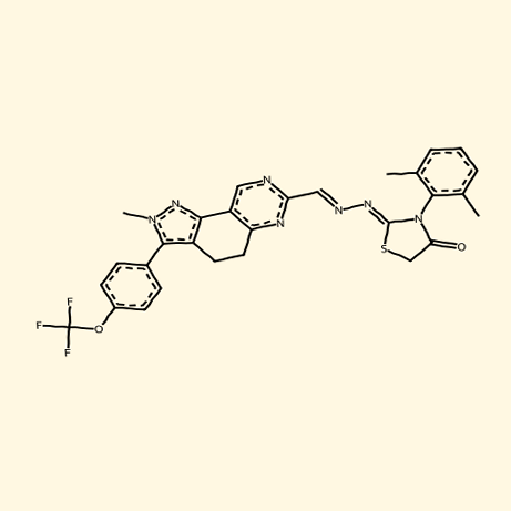 Cc1cccc(C)c1N1C(=O)CSC1=NN=Cc1ncc2c(n1)CCc1c-2nn(C)c1-c1ccc(OC(F)(F)F)cc1